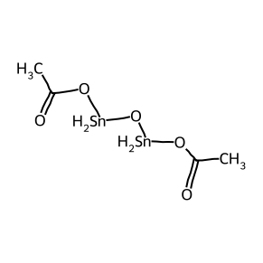 CC(=O)[O][SnH2][O][SnH2][O]C(C)=O